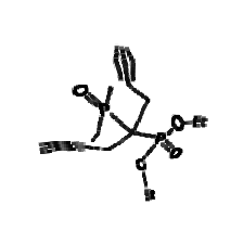 C#CCC(CC#C)(P(C)(C)=O)P(=O)(OCC)OCC